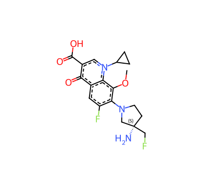 COc1c(N2CC[C@@](N)(CF)C2)c(F)cc2c(=O)c(C(=O)O)cn(C3CC3)c12